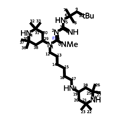 CN/C(=N\C(=N)NC(C)(C)CC(C)(C)C)N(CCCCCCNC1CC(C)(C)NC(C)(C)C1)C1CC(C)(C)NC(C)(C)C1